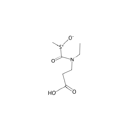 CCN(CCC(=O)O)C(=O)[S+](C)[O-]